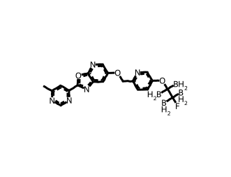 BC(B)(F)C(B)(B)Oc1ccc(COc2cnc3oc(-c4cc(C)ncn4)nc3c2)nc1